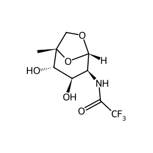 C[C@@]12CO[C@@H](O1)[C@@H](NC(=O)C(F)(F)F)[C@@H](O)[C@@H]2O